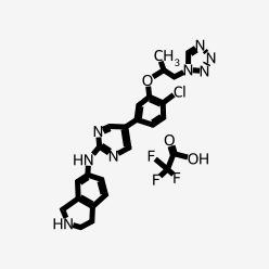 CC(Cn1cnnn1)Oc1cc(-c2cnc(Nc3ccc4c(c3)CNCC4)nc2)ccc1Cl.O=C(O)C(F)(F)F